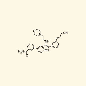 NC(=O)c1cccc(-c2ccc3nc(-c4cccc(OCCO)c4)c(NCCN4CCOCC4)n3c2)c1